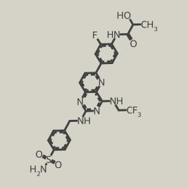 CC(O)C(=O)Nc1ccc(-c2ccc3nc(NCc4ccc(S(N)(=O)=O)cc4)nc(NCC(F)(F)F)c3n2)cc1F